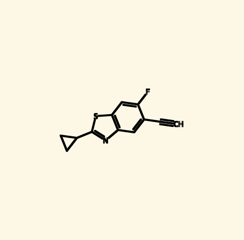 C#Cc1cc2nc(C3CC3)sc2cc1F